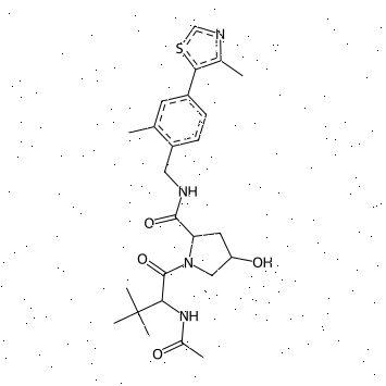 CC(=O)NC(C(=O)N1CC(O)CC1C(=O)NCc1ccc(-c2scnc2C)cc1C)C(C)(C)C